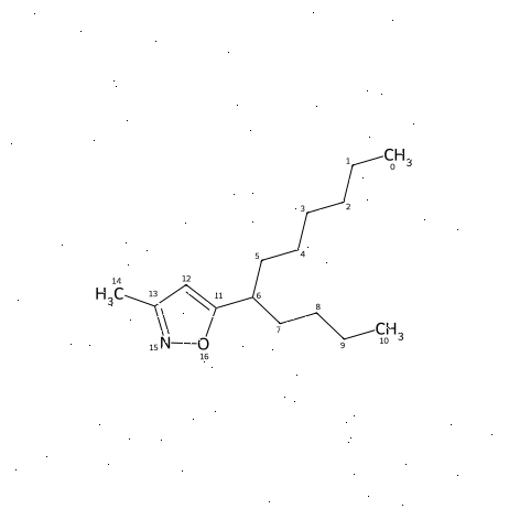 CCCCCCC(CCCC)c1cc(C)no1